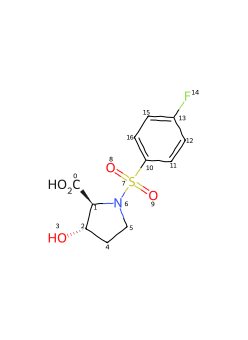 O=C(O)[C@@H]1[C@@H](O)CCN1S(=O)(=O)c1ccc(F)cc1